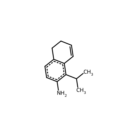 CC(C)c1c(N)ccc2c1C=CCC2